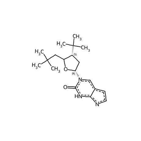 CC(C)(C)CC1O[C@@H](n2cc3ccnc-3[nH]c2=O)C[C@H]1C(C)(C)C